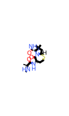 CN[C@@H](C)C(=O)N[C@H]1CCS[C@H]2CC(C)(C)[C@@H](C(N)=O)N2C1=O